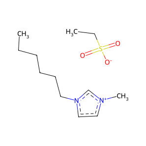 CCCCCCn1cc[n+](C)c1.CCS(=O)(=O)[O-]